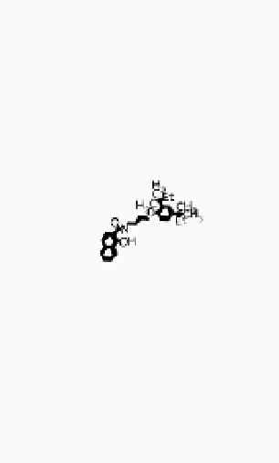 CCC(C)(C)c1ccc(OCCCC[N]C(=O)c2ccc3ccccc3c2O)c(C(C)(C)CC)c1